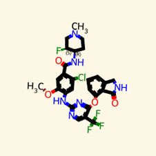 COc1cc(C(=O)N[C@@H]2CCN(C)C[C@@H]2F)c(Cl)cc1Nc1ncc(C(F)(F)F)c(Oc2cccc3c2C(=O)NC3)n1